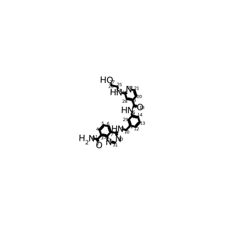 NC(=O)c1cccc2c(NCc3cccc(NC(=O)c4ccnc(NCCO)c4)c3)ncnc12